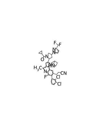 Cc1nc2c(F)c(-c3cccc(Cl)c3Cl)c(CCC#N)cc2c2c1cc(C1CC(n3ccc(C(F)F)n3)CN1C(=O)C1CC1)n2C1C2CNC1C2